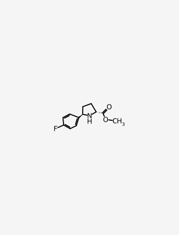 COC(=O)[C@H]1CC[C@H](c2ccc(F)cc2)N1